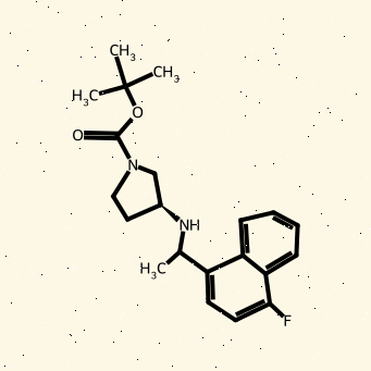 CC(N[C@H]1CCN(C(=O)OC(C)(C)C)C1)c1ccc(F)c2ccccc12